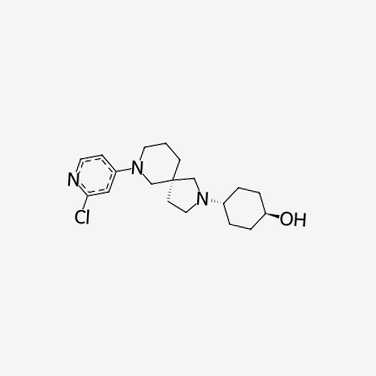 O[C@H]1CC[C@H](N2CC[C@]3(CCCN(c4ccnc(Cl)c4)C3)C2)CC1